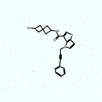 CC(=O)C1CC2(CC(NC(=O)c3csc4ccn(CC#Cc5ccccc5)c34)C2)C1